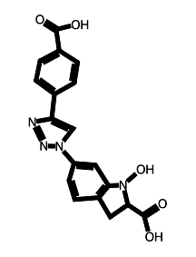 O=C(O)c1ccc(-c2cn(-c3ccc4c(c3)N(O)C(C(=O)O)C4)nn2)cc1